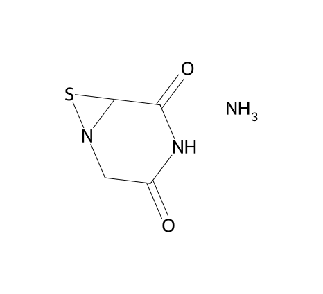 N.O=C1CN2SC2C(=O)N1